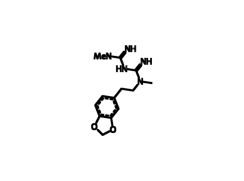 CNC(=N)NC(=N)N(C)CCc1ccc2c(c1)OCO2